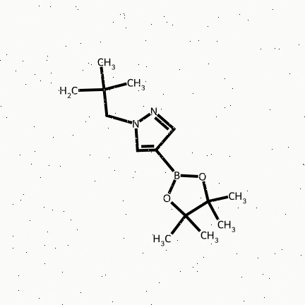 [CH2]C(C)(C)Cn1cc(B2OC(C)(C)C(C)(C)O2)cn1